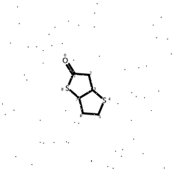 O=C1CC2SCCC2S1